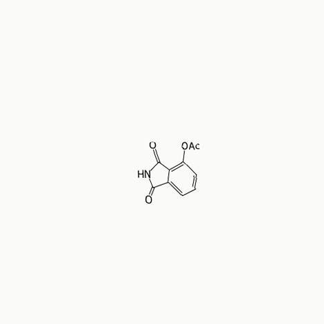 CC(=O)Oc1cccc2c1C(=O)NC2=O